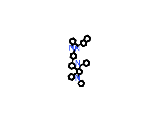 c1ccc(-c2nc3c(-c4ccc(-c5nc(-c6ccc7ccccc7c6)c6ccccc6n5)cc4)cccc3c3c2ccc2c3c3ccccc3n2-c2ccccc2)cc1